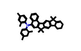 CC1=CC=C(N(c2ccc(C)cc2C)c2cc3c(c4ccccc24)-c2cc4c(cc2C3(C)C)C2CCCC=C2C4(C)C)C(C)C1